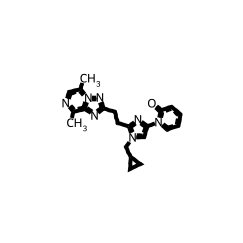 Cc1ncc(C)n2nc(CCc3nc(-n4ccccc4=O)cn3CC3CC3)nc12